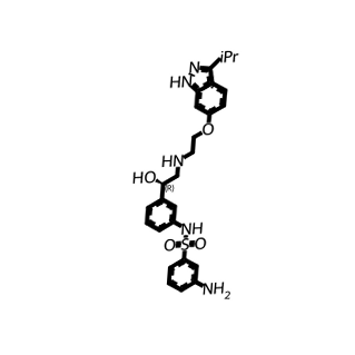 CC(C)c1n[nH]c2cc(OCCNC[C@H](O)c3cccc(NS(=O)(=O)c4cccc(N)c4)c3)ccc12